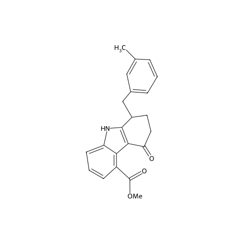 COC(=O)c1cccc2[nH]c3c(c12)C(=O)CCC3Cc1cccc(C)c1